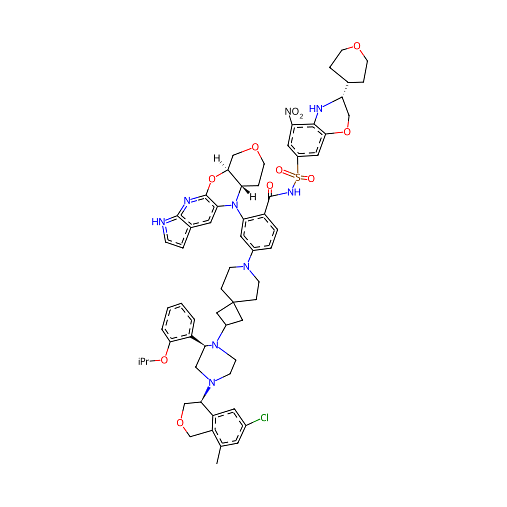 Cc1cc(Cl)cc2c1COC[C@H]2N1CCN(C2CC3(CCN(c4ccc(C(=O)NS(=O)(=O)c5cc6c(c([N+](=O)[O-])c5)N[C@H](C5CCOCC5)CO6)c(N5c6cc7cc[nH]c7nc6O[C@H]6COCC[C@@H]65)c4)CC3)C2)[C@H](c2ccccc2OC(C)C)C1